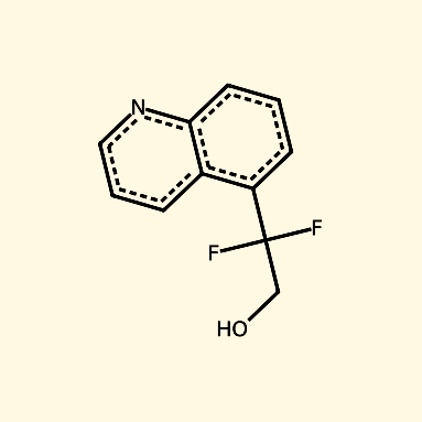 OCC(F)(F)c1cccc2ncccc12